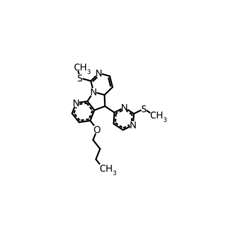 CCCCOc1ccnc2c1C(c1ccnc(SC)n1)C1C=CN=C(SC)N21